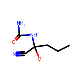 CCCC([O])(C#N)NC(N)=O